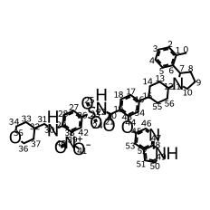 Cc1ccccc1C1CCCN1C1CCC(c2ccc(C(=O)NS(=O)(=O)c3ccc(NCC4CCOCC4)c([N+](=O)[O-])c3)c(Oc3cnc4[nH]ccc4c3)c2)CC1